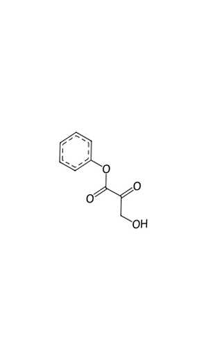 O=C(CO)C(=O)Oc1ccccc1